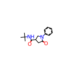 CC(C)(C)NC(=O)C1CC(=O)N(c2ccccc2)C1